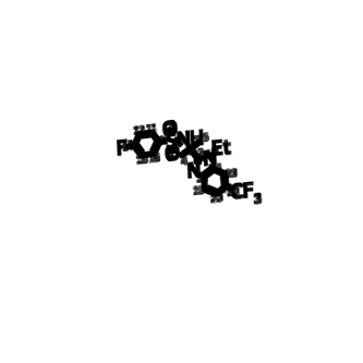 CCn1c(C(C)(C)NS(=O)(=O)c2ccc(F)cc2)nc2ccc(C(F)(F)F)cc21